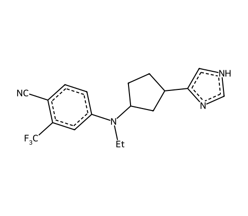 CCN(c1ccc(C#N)c(C(F)(F)F)c1)C1CCC(c2c[nH]cn2)C1